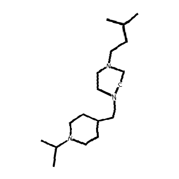 CC(C)CCN1CCN(CC2CCN(C(C)C)CC2)CC1